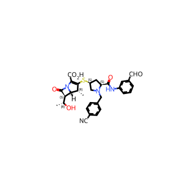 C[C@@H](O)[C@H]1C(=O)N2C(C(=O)O)=C(S[C@H]3C[C@@H](C(=O)Nc4cccc(C=O)c4)N(Cc4ccc(C#N)cc4)C3)[C@H](C)[C@H]12